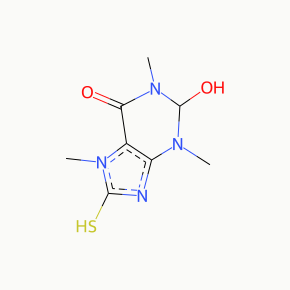 CN1C(=O)c2c(nc(S)n2C)N(C)C1O